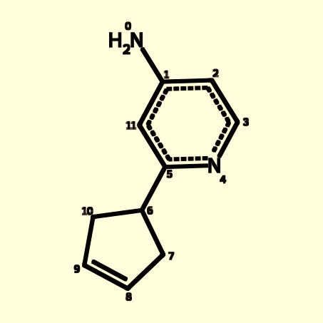 Nc1ccnc(C2CC=CC2)c1